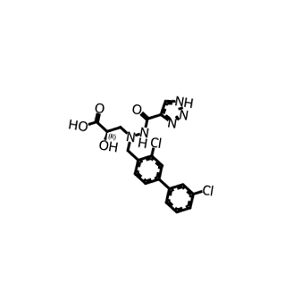 O=C(NN(Cc1ccc(-c2cccc(Cl)c2)cc1Cl)C[C@@H](O)C(=O)O)c1c[nH]nn1